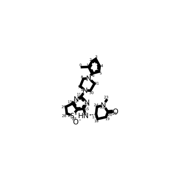 Cc1ccccc1N1CCN(c2nc3c(c(N[C@H]4CCC(=O)N(C)C4)n2)[S+]([O-])CC3)CC1